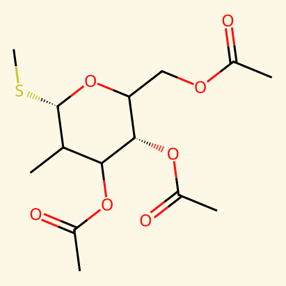 CS[C@@H]1OC(COC(C)=O)[C@H](OC(C)=O)C(OC(C)=O)C1C